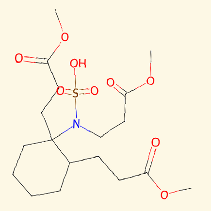 COC(=O)CCC1CCCCC1(CCC(=O)OC)N(CCC(=O)OC)S(=O)(=O)O